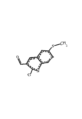 CSc1ccc2nc(Cl)c(C=O)cc2c1